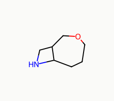 C1COCC2CNC2C1